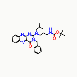 CC(C)CN(CCCNC(=O)OC(C)(C)C)c1nc2nc3ccccc3nc2c(=O)n1Cc1ccccc1